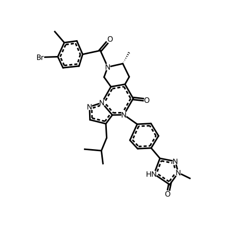 Cc1cc(C(=O)N2Cc3c(c(=O)n(-c4ccc(-c5nn(C)c(=O)[nH]5)cc4)c4c(CC(C)C)cnn34)C[C@H]2C)ccc1Br